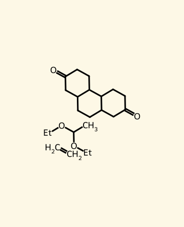 C=C.CCOC(C)OCC.O=C1CCC2C(CCC3CC(=O)CCC32)C1